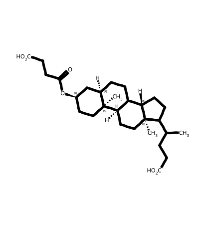 CC(CCC(=O)O)C1CC[C@H]2C3CC[C@@H]4C[C@H](OC(=O)CCC(=O)O)CC[C@]4(C)[C@@H]3CC[C@]12C